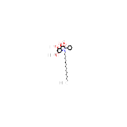 CCCCCCCCCCCCCCCCn1c(-c2ccccc2)c(OC)c(=O)c2c(OC)cc(OC)cc21